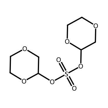 O=S(=O)(OC1COCCO1)OC1COCCO1